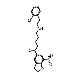 O=C(CCCCNCCc1ccccc1Cl)c1cc2c(c([SH](=O)=O)c1)OCC2